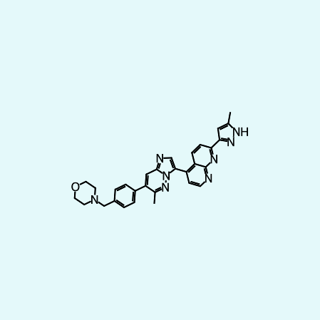 Cc1cc(-c2ccc3c(-c4cnc5cc(-c6ccc(CN7CCOCC7)cc6)c(C)nn45)ccnc3n2)n[nH]1